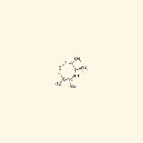 C=C1N/C(C(C)(C)C)=C(/C(C)(C)C)CCCC1C